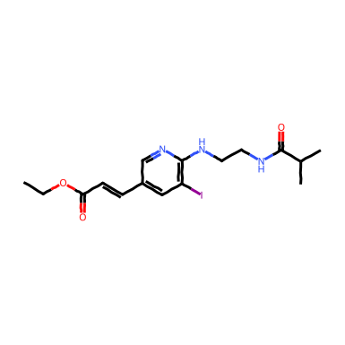 CCOC(=O)/C=C/c1cnc(NCCNC(=O)C(C)C)c(I)c1